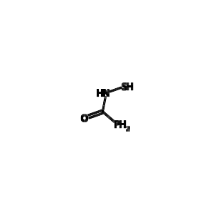 O=C(P)NS